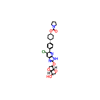 O=C(O[C@H]1CC[C@@H](c2ccc(-c3nc4[nH]c(O[C@@H]5CO[C@H]6[C@@H]5OC[C@H]6O)nc4cc3Cl)cc2)CC1)N1CCCC1